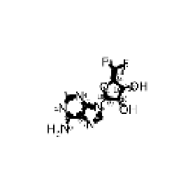 Nc1ncnc2c1ncn2[C@@H]1OC(=C(F)F)[C@@H](O)[C@H]1O